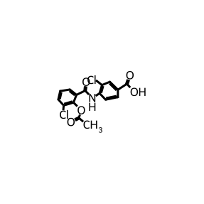 CC(=O)Oc1c(Cl)cccc1C(=O)Nc1ccc(C(=O)O)cc1Cl